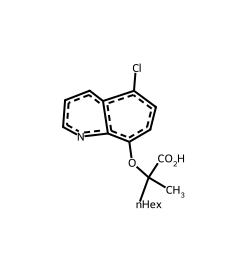 CCCCCCC(C)(Oc1ccc(Cl)c2cccnc12)C(=O)O